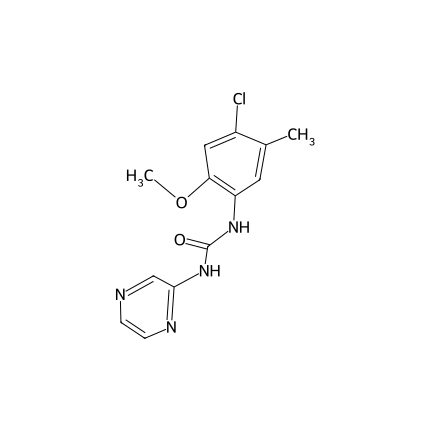 COc1cc(Cl)c(C)cc1NC(=O)Nc1cnccn1